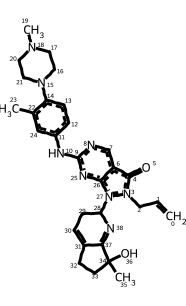 C=CCn1c(=O)c2cnc(Nc3ccc(N4CCN(C)CC4)c(C)c3)nc2n1C1CC=C2CCC(C)(O)C2=N1